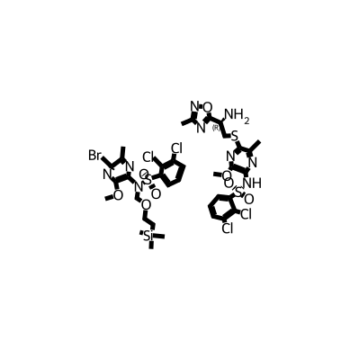 COc1nc(Br)c(C)nc1N(COCC[Si](C)(C)C)S(=O)(=O)c1cccc(Cl)c1Cl.COc1nc(SC[C@H](N)c2nc(C)no2)c(C)nc1NS(=O)(=O)c1cccc(Cl)c1Cl